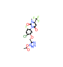 CC(=O)On1nnnc1COc1cc(-n2c(=O)cc(C(F)(F)F)n(C)c2=O)c(F)cc1Cl